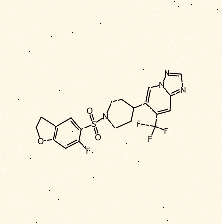 O=S(=O)(c1cc2c(cc1F)OCC2)N1CCC(c2cn3ncnc3cc2C(F)(F)F)CC1